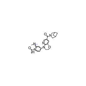 C/N=c1/cc(N2CCOc3cc(C(=O)N4CC5CC(C5)C4)cnc32)ccn1C(=O)C(C)C